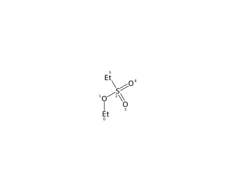 [CH2]COS(=O)(=O)CC